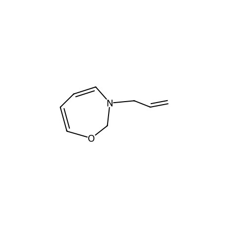 C=CCN1C=CC=COC1